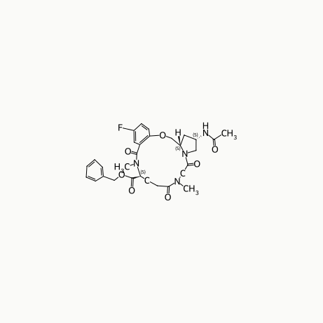 CC(=O)N[C@H]1C[C@H]2COc3ccc(F)cc3C(=O)N(C)[C@H](C(=O)OCc3ccccc3)CCC(=O)N(C)CC(=O)N2C1